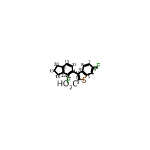 O=C(O)c1sc2cc(F)ccc2c1-c1ccc2c(c1F)CCC2